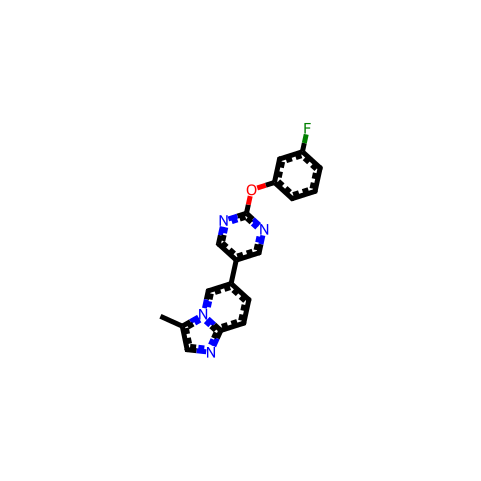 Cc1cnc2ccc(-c3cnc(Oc4cccc(F)c4)nc3)cn12